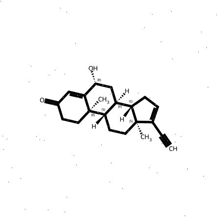 C#CC1=CC[C@H]2[C@@H]3C[C@@H](O)C4=CC(=O)CC[C@]4(C)[C@H]3CC[C@]12C